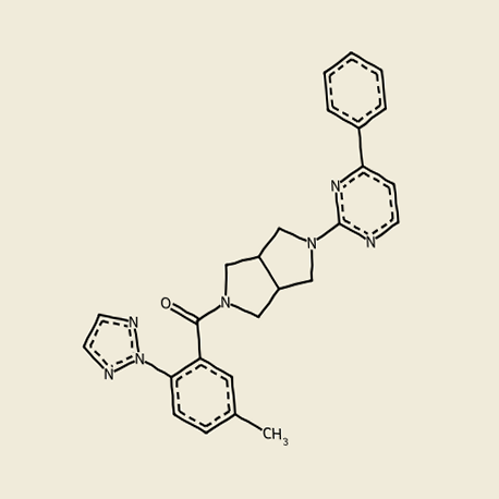 Cc1ccc(-n2nccn2)c(C(=O)N2CC3CN(c4nccc(-c5ccccc5)n4)CC3C2)c1